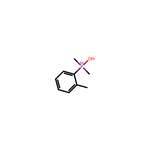 Cc1ccccc1[PH](C)(C)O